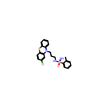 Cc1ccccc1S(=N)(=O)NCCCN1c2ccccc2Sc2ccc(Cl)cc21